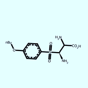 CCCCOc1ccc(S(=O)(=O)[C@H](N)C(N)C(=O)O)cc1